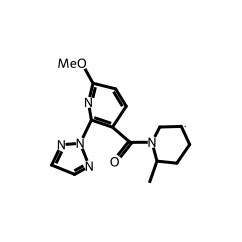 COc1ccc(C(=O)N2C[CH]CCC2C)c(-n2nccn2)n1